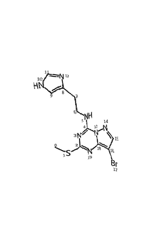 CSc1nc(NCCc2c[nH]cn2)n2ncc(Br)c2n1